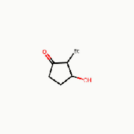 CCC1C(=O)CCC1O